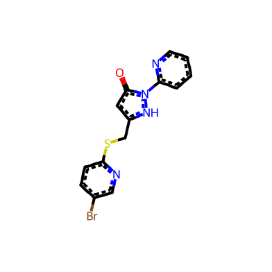 O=c1cc(CSc2ccc(Br)cn2)[nH]n1-c1ccccn1